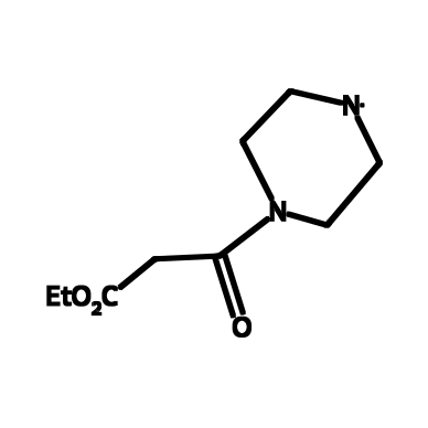 CCOC(=O)CC(=O)N1CC[N]CC1